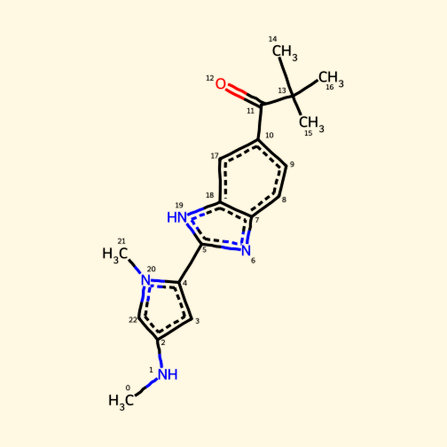 CNc1cc(-c2nc3ccc(C(=O)C(C)(C)C)cc3[nH]2)n(C)c1